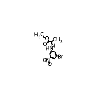 CCOC(=O)C(C)=NNc1cc(Br)cc([N+](=O)[O-])c1